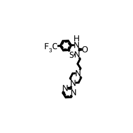 O=C1Nc2ccc(C(F)(F)F)cc2SN1CCCN1CCN(c2ncccn2)CC1